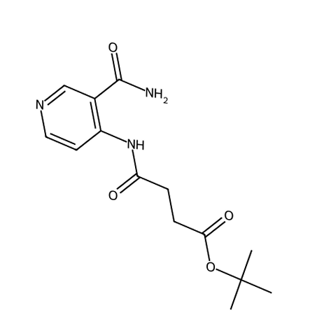 CC(C)(C)OC(=O)CCC(=O)Nc1ccncc1C(N)=O